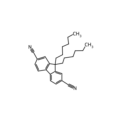 CCCCCCC1(CCCCCC)c2cc(C#N)ccc2-c2ccc(C#N)cc21